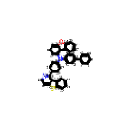 c1ccc(-c2ccc(N(c3ccc(-c4nccc5sc6ccccc6c45)cc3)c3cccc4oc5ccccc5c34)cc2)cc1